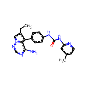 [CH2]Cc1cn2ncnc(N)c2c1-c1ccc(NC(=O)Nc2cc(C)ccn2)cc1